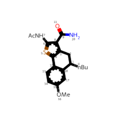 CCCCC1Cc2c(sc(NC(C)=O)c2C(N)=O)-c2ccc(OC)cc21